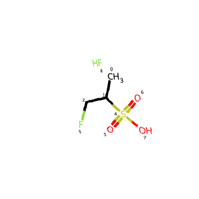 CC(CF)S(=O)(=O)O.F